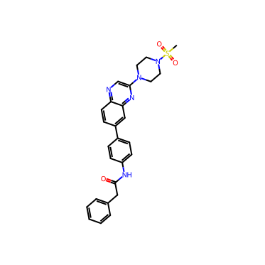 CS(=O)(=O)N1CCN(c2cnc3ccc(-c4ccc(NC(=O)Cc5ccccc5)cc4)cc3n2)CC1